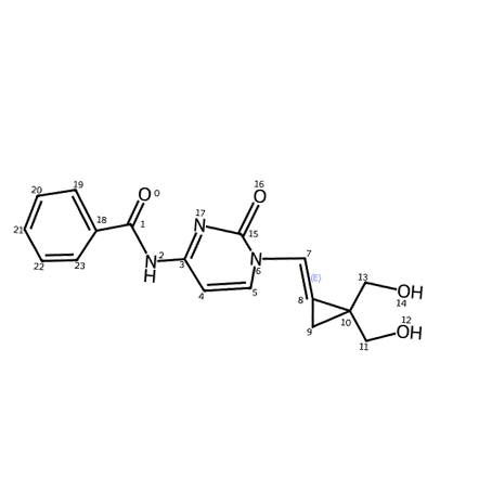 O=C(Nc1ccn(/C=C2\CC2(CO)CO)c(=O)n1)c1ccccc1